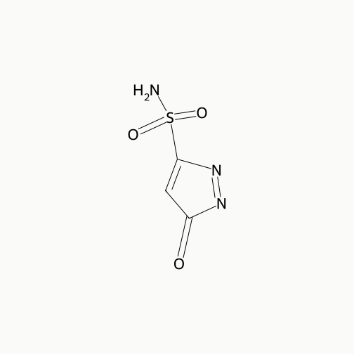 NS(=O)(=O)C1=CC(=O)N=N1